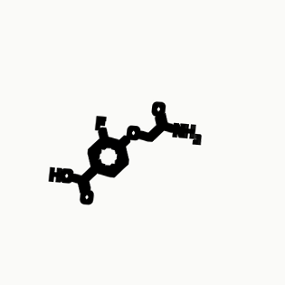 NC(=O)COc1ccc(C(=O)O)cc1F